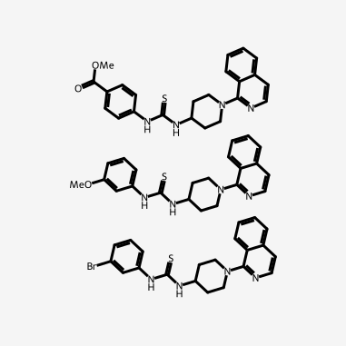 COC(=O)c1ccc(NC(=S)NC2CCN(c3nccc4ccccc34)CC2)cc1.COc1cccc(NC(=S)NC2CCN(c3nccc4ccccc34)CC2)c1.S=C(Nc1cccc(Br)c1)NC1CCN(c2nccc3ccccc23)CC1